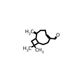 C=C1CC/C=C(\C=O)CCC2C1CC2(C)C